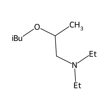 CCC(C)OC(C)CN(CC)CC